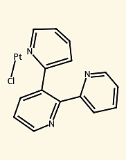 [Cl][Pt].c1ccc(-c2cccnc2-c2ccccn2)nc1